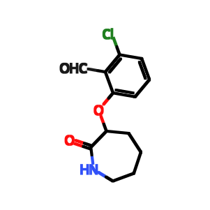 O=Cc1c(Cl)cccc1OC1CCCCNC1=O